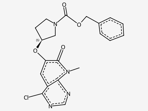 Cn1c(=O)c(O[C@H]2CCN(C(=O)OCc3ccccc3)C2)cc2c(Cl)ncnc21